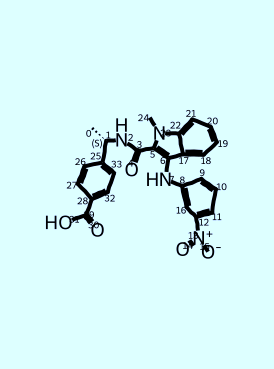 C[C@H](NC(=O)c1c(Nc2cccc([N+](=O)[O-])c2)c2ccccc2n1C)c1ccc(C(=O)O)cc1